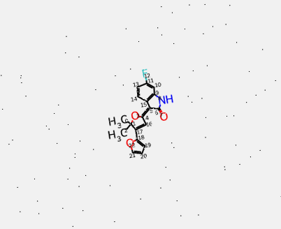 CC1(C)O/C(=C2/C(=O)Nc3cc(F)ccc32)C=C1c1ccco1